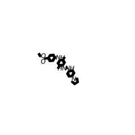 CCOC(=O)c1ccc(Nc2cc(C)c(NNc3ccc(N4CCCC4)cc3)cc2C)cc1